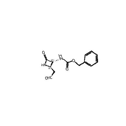 O=CC[C@H]1NC(=O)[C@@H]1NC(=O)OCc1ccccc1